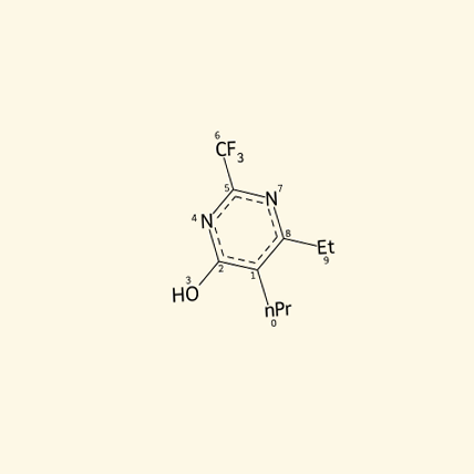 CCCc1c(O)nc(C(F)(F)F)nc1CC